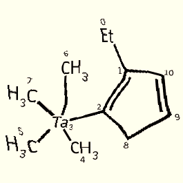 CCC1=[C]([Ta]([CH3])([CH3])([CH3])[CH3])CC=C1